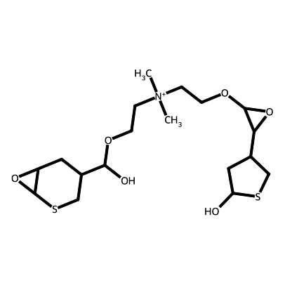 C[N+](C)(CCOC(O)C1CSC2OC2C1)CCOC1OC1C1CSC(O)C1